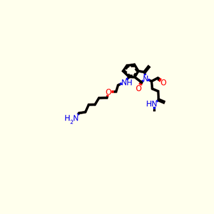 C=C(CCC(C=O)N1C(=C)c2cccc(NCCOCCCCCCN)c2C1=O)NC